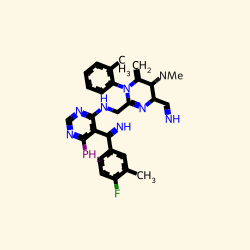 C=C1C(NC)C(C=N)N=C(CNc2ncnc(P)c2C(=N)c2ccc(F)c(C)c2)N1c1ccccc1C